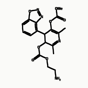 COC(=O)OC1=C(C)N=C(C)C(OC(=O)OCCN)C1c1cccc2onnc12